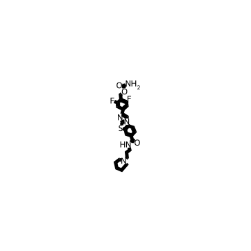 NC(=O)OCc1c(F)cc(-c2cn3c(n2)sc2cc(C(=O)NCCCN4CCCCC4)ccc23)cc1F